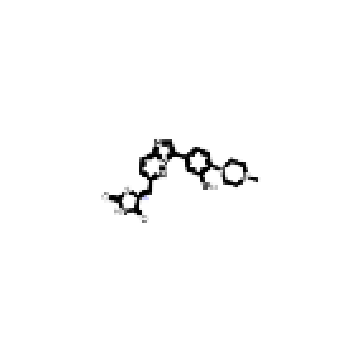 CN1CCN(c2ccc(-c3cnc4ccc(/C=C5\SC(=O)NC5=O)nn34)cc2C(C)(C)C)CC1